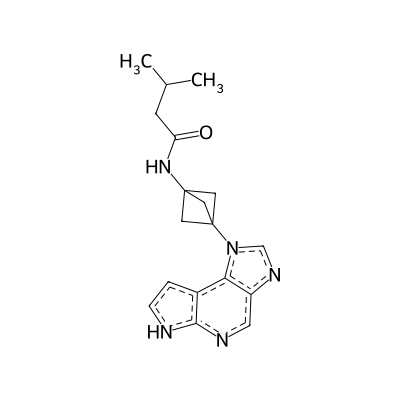 CC(C)CC(=O)NC12CC(n3cnc4cnc5[nH]ccc5c43)(C1)C2